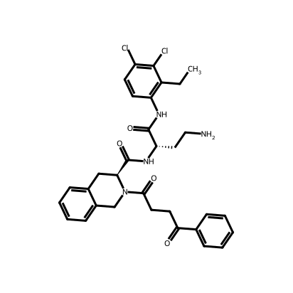 CCc1c(NC(=O)[C@H](CCN)NC(=O)[C@@H]2Cc3ccccc3CN2C(=O)CCC(=O)c2ccccc2)ccc(Cl)c1Cl